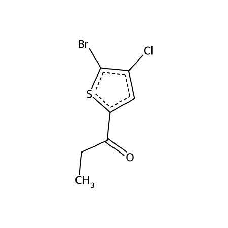 CCC(=O)c1cc(Cl)c(Br)s1